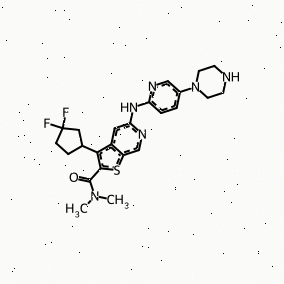 CN(C)C(=O)c1sc2cnc(Nc3ccc(N4CCNCC4)cn3)cc2c1C1CCC(F)(F)C1